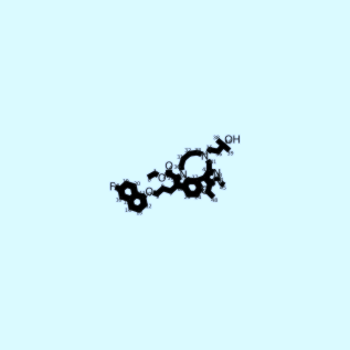 CCOC(=O)c1c(CCCOc2cccc3cc(F)ccc23)c2ccc(Cl)c3c2n1CCCCN(CCC(C)(C)O)Cc1nn(C)c(CC)c1-3